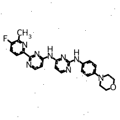 Cc1nc(-c2nccc(Nc3ccnc(Nc4ccc(N5CCOCC5)cc4)n3)n2)ccc1F